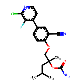 CC(C)CC(C)(COc1ccc(-c2ccnc(Cl)c2F)cc1C#N)OC(N)=O